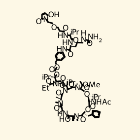 C=C1C(O)N[C@@H](C)C(=O)N(C)[C@@H](C)C(=O)N[C@@H]([C@H](OC(=O)[C@@H](NC(=O)CC)[C@H](OC(=O)OCc2ccc(NC(=O)[C@H](CCCNC(N)=O)NC(=O)[C@@H](NC(=O)CCOCCN3C(=O)C=CC3O)C(C)C)cc2)C(C)C)C(C)C)C(=O)N(C)[C@@H]([C@@H](C)OC)C(=O)O[C@H](C(C)C)[C@H](NC(C)=O)C(=O)O[C@H](Cc2ccccc2)C(=O)N1C